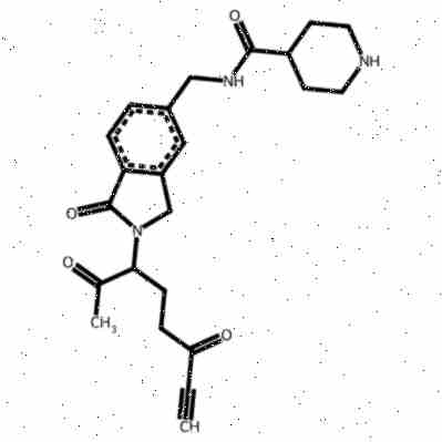 C#CC(=O)CCC(C(C)=O)N1Cc2cc(CNC(=O)C3CCNCC3)ccc2C1=O